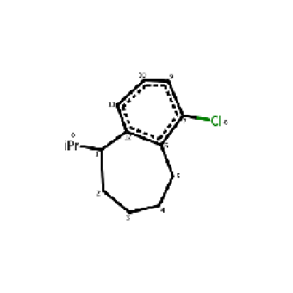 CC(C)C1CCCCc2c(Cl)cccc21